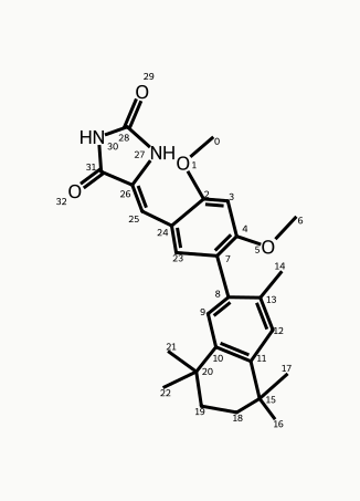 COc1cc(OC)c(-c2cc3c(cc2C)C(C)(C)CCC3(C)C)cc1/C=C1\NC(=O)NC1=O